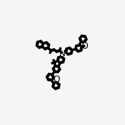 C/C(=C\C=C(/C)N(c1ccc(-c2ccc3oc4ccccc4c3c2)cc1)c1ccc2c(c1)C(C)(C)c1cc(-c3cccc4c3oc3ccccc34)ccc1-2)c1ccc2ccccc2c1